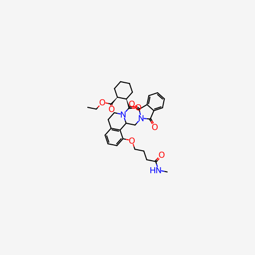 CCOC(=O)[C@H]1CCCC[C@H]1C(=O)N1CCc2cccc(OCCCC(=O)NC)c2C1CN1C(=O)c2ccccc2C1=O